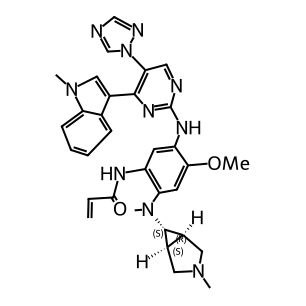 C=CC(=O)Nc1cc(Nc2ncc(-n3cncn3)c(-c3cn(C)c4ccccc34)n2)c(OC)cc1N(C)[C@H]1[C@@H]2CN(C)C[C@@H]21